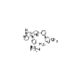 CC1CN(c2cccc(-c3ccc4nc(-c5cccnc5N)n(-c5ccc(C6(NC(=O)O)CCC6)cc5)c4n3)c2)CC(C)O1